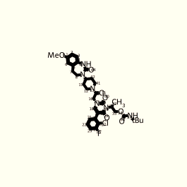 COc1ccc2c(c1)CCN(C1CCN(C(=O)Cn3cc(-c4cccc(F)c4Cl)c(=O)n(C(C)COC(=O)NC(C)(C)C)c3=O)CC1)C(=O)N2